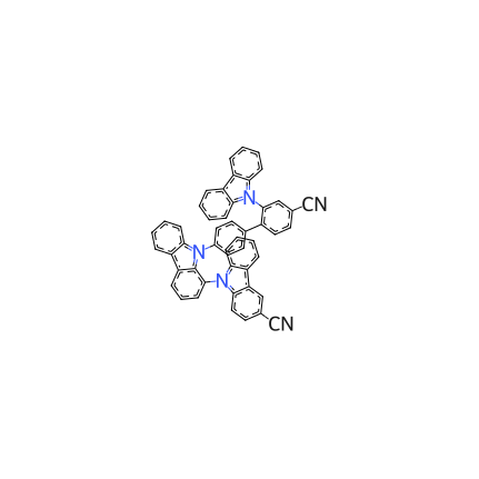 N#Cc1ccc(-c2ccc(-n3c4ccccc4c4cccc(-n5c6ccccc6c6cc(C#N)ccc65)c43)cc2)c(-n2c3ccccc3c3ccccc32)c1